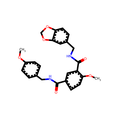 COc1ccc(CNC(=O)c2ccc(OC)c(C(=O)NCc3ccc4c(c3)OCO4)c2)cc1